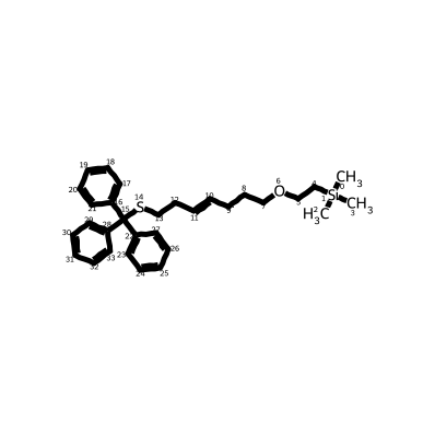 C[Si](C)(C)CCOCC[CH]C=CCCSC(c1ccccc1)(c1ccccc1)c1ccccc1